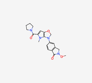 CON1Cc2cc(N3COc4cc(C(=O)N5CCCC5)n(C)c43)ccc2C1=O